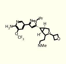 CNCCC1[C@@H]2[C@H](CN1C1COC1)[C@H]2c1cc(-c2cnc(N)c(OC(F)(F)F)c2)nn1C(C)C